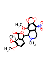 COc1ccc2c(c1OC)C(=O)OC2C1c2c(c([N+](=O)[O-])c3c(c2OC)OCO3)CCN1C